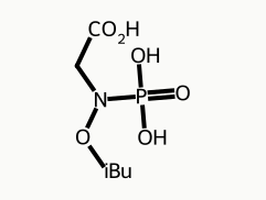 CCC(C)ON(CC(=O)O)P(=O)(O)O